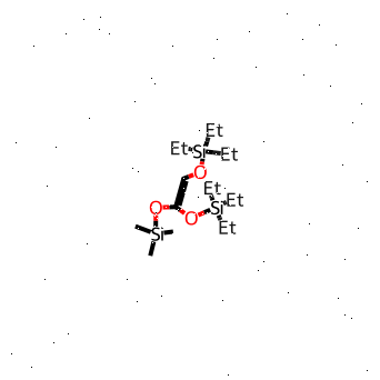 CC[Si](CC)(CC)OC=C(O[Si](C)(C)C)O[Si](CC)(CC)CC